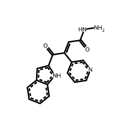 NNC(=O)C=C(C(=O)c1cc2ccccc2[nH]1)c1cccnc1